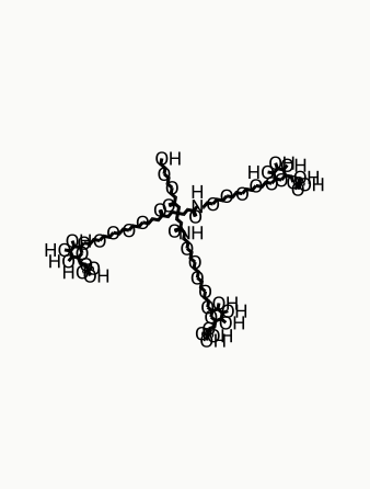 O=C(CCCOCCOCCOCCOCCOC1OC(COP(=O)(O)O)C(O)C(O)C1O)CCC(CCC(=O)NCCOCCOCCOCCOCCOC1OC(COP(=O)(O)O)C(O)C(O)C1O)(CCC(=O)NCCOCCOCCOCCOCCOC1OC(COP(=O)(O)O)C(O)C(O)C1O)CC(=O)CCOCCOCCO